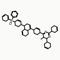 CC1C(C2C=CC(C3=CCC(C4C=CC(P(=O)(C5=CC=CCC5)c5ccccc5)CC4)C4C=CCCC34)CC2)=NC(C2CC=CCC2)=NC1C1CC=CCC1